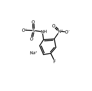 O=[N+]([O-])c1cc(F)ccc1NS(=O)(=O)[O-].[Na+]